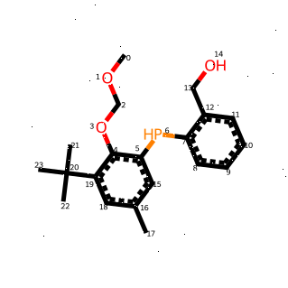 COCOc1c(Pc2ccccc2CO)cc(C)cc1C(C)(C)C